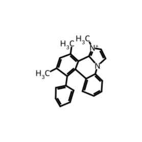 Cc1cc(C)c2c(c1-c1ccccc1)c1ccccc1n1cc[n+](C)c21